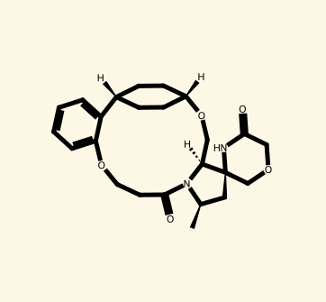 C[C@@H]1C[C@@]2(COCC(=O)N2)[C@@H]2CO[C@H]3CC[C@H](CC3)c3ccccc3OCCC(=O)N12